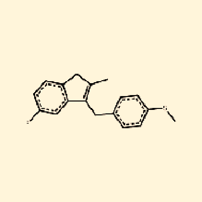 CSc1ccc(CC2=C(C)Cc3ccc(F)cc32)cc1